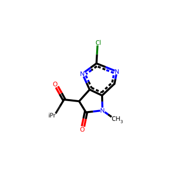 CC(C)C(=O)C1C(=O)N(C)c2cnc(Cl)nc21